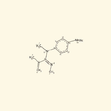 C=C(C)C(=NC)N(C)c1ccc(NC(C)=O)cc1